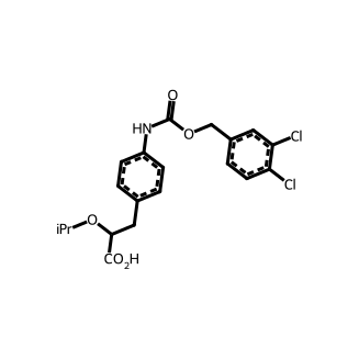 CC(C)OC(Cc1ccc(NC(=O)OCc2ccc(Cl)c(Cl)c2)cc1)C(=O)O